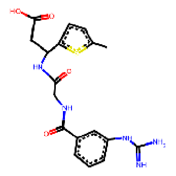 Cc1ccc(C(CC(=O)O)NC(=O)CNC(=O)c2cccc(NC(=N)N)c2)s1